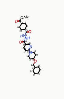 COC(=O)[C@H]1CC[C@H](C(=O)NNC(=O)c2ccc(N3CCC(OCC4CCCCC4)CC3)nc2)CC1